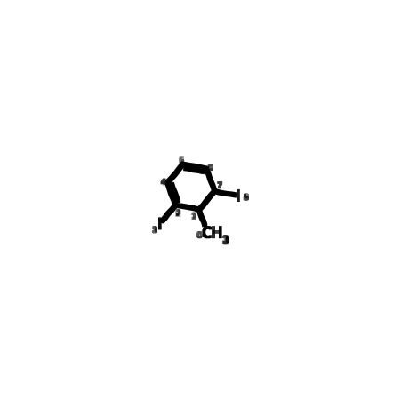 CC1C(I)=CC=CC1I